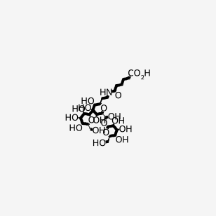 O=C(O)CCCCC(=O)NCC[C@H]1O[C@H](C(O)O[C@H]2O[C@H](CO)[C@@H](O)[C@H](O)[C@@H]2O)[C@@H](O)[C@@](O)([C@H]2O[C@H](CO)[C@@H](O)[C@H](O)[C@@H]2O)[C@@H]1O